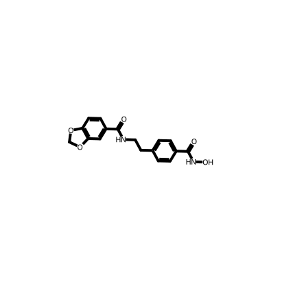 O=C(NO)c1ccc(CCNC(=O)c2ccc3c(c2)OCO3)cc1